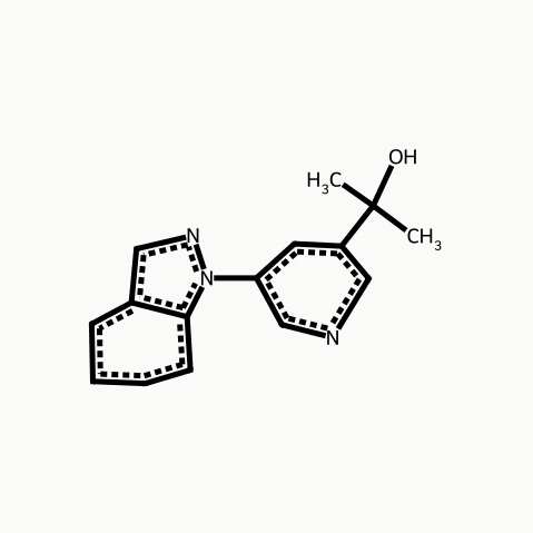 CC(C)(O)c1cncc(-n2ncc3ccccc32)c1